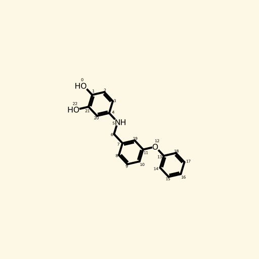 Oc1ccc(NCc2cccc(Oc3ccccc3)c2)cc1O